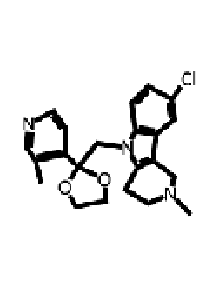 Cc1cnccc1C1(Cn2c3c(c4cc(Cl)ccc42)CN(C)CC3)OCCO1